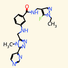 CCn1ncc(CNC(=O)c2cccc(NCc3nnc(-c4ccncn4)n3C)c2)c1F